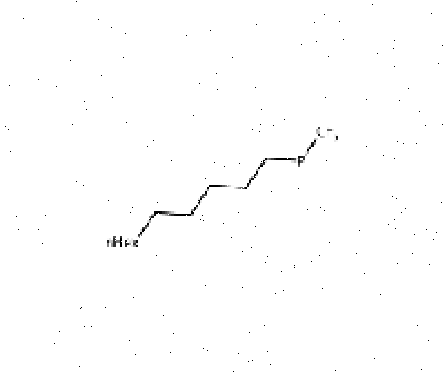 CCCCCCCCCCC[P]C(F)(F)F